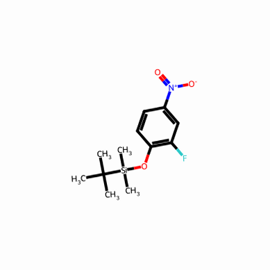 CC(C)(C)[Si](C)(C)Oc1ccc([N+](=O)[O-])cc1F